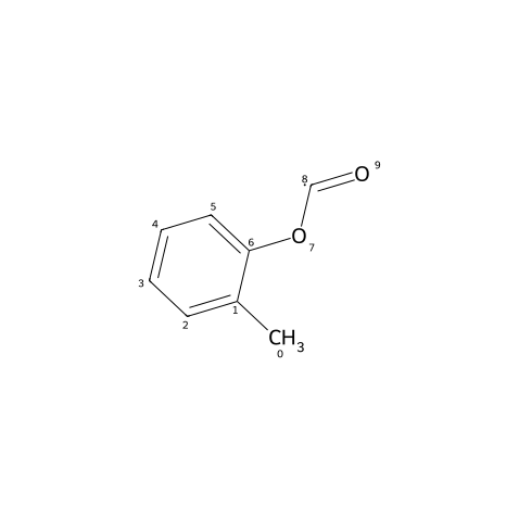 Cc1ccccc1O[C]=O